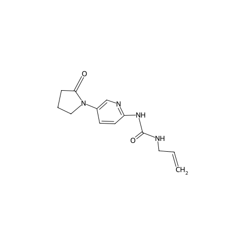 C=CCNC(=O)Nc1ccc(N2CCCC2=O)cn1